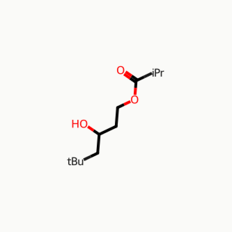 CC(C)C(=O)OCCC(O)CC(C)(C)C